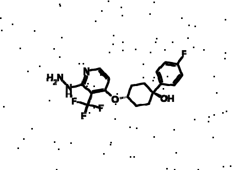 NNc1nccc(O[C@H]2CC[C@@](O)(c3ccc(F)cc3)CC2)c1C(F)(F)F